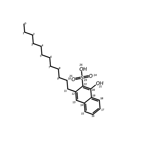 CCCCCCCCCCCCc1cc2ccccc2c(O)c1S(=O)(=O)O